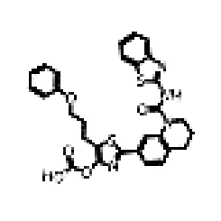 O=C(O)Oc1nc(-c2ccc3c(c2)N(C(=O)Nc2nc4ccccc4s2)CCC3)sc1CCCOc1ccccc1